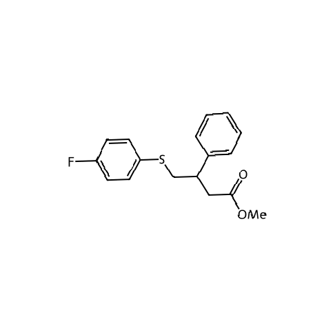 COC(=O)CC(CSc1ccc(F)cc1)c1ccccc1